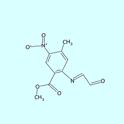 COC(=O)c1cc([N+](=O)[O-])c(C)cc1N=CC=O